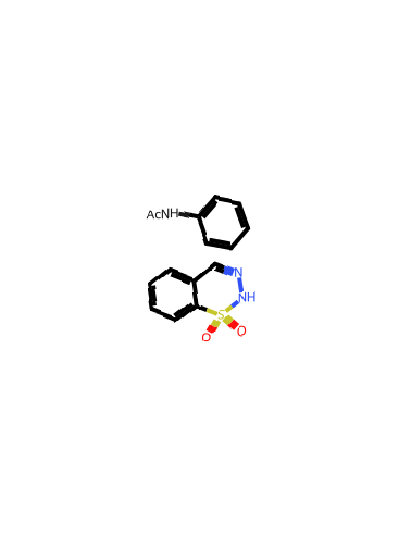 CC(=O)Nc1ccccc1.O=S1(=O)NN=Cc2ccccc21